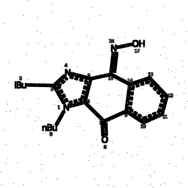 CCCCn1c(C(C)CC)nc2c1C(=O)c1ccccc1C2=NO